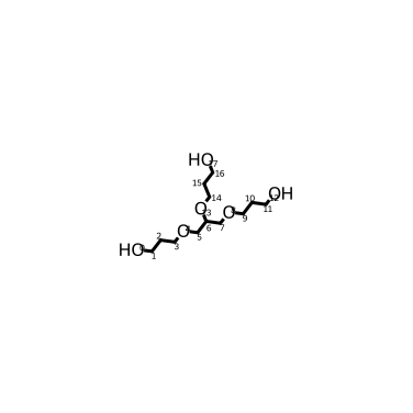 OCCCOCC(COCCCO)OCCCO